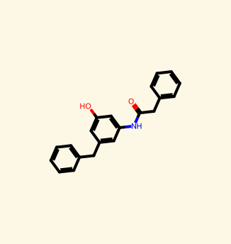 O=C(Cc1ccccc1)Nc1cc(O)cc(Cc2ccccc2)c1